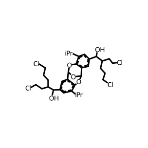 CC(C)c1cc(C(O)C(CCCl)CCCCl)cc2c1OC1OC2Oc2c(C(C)C)cc(C(O)C(CCCl)CCCCl)cc21